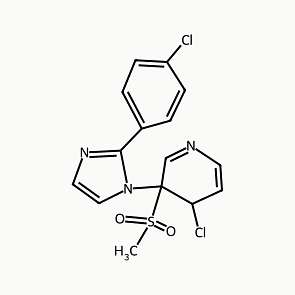 CS(=O)(=O)C1(n2ccnc2-c2ccc(Cl)cc2)C=NC=CC1Cl